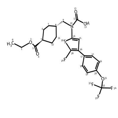 CCOC(=O)[C@H]1CC[C@H](CN(C(=O)O)c2cc(-c3ccc(OC(F)(F)F)cc3)c(F)s2)CC1